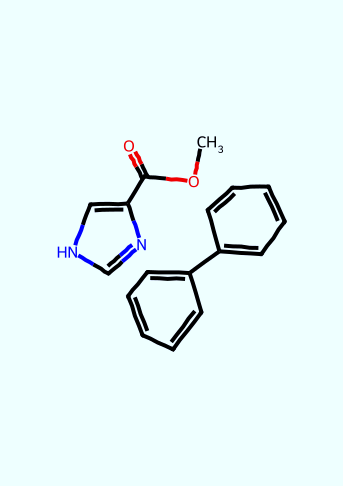 COC(=O)c1c[nH]cn1.c1ccc(-c2ccccc2)cc1